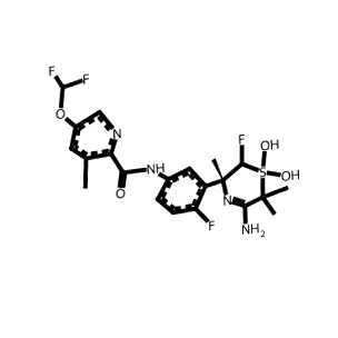 Cc1cc(OC(F)F)cnc1C(=O)Nc1ccc(F)c([C@@]2(C)N=C(N)C(C)(C)S(O)(O)C2F)c1